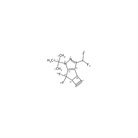 CC(C)(C)n1nc(C(F)F)c2c1C(F)(F)C1C#CC21